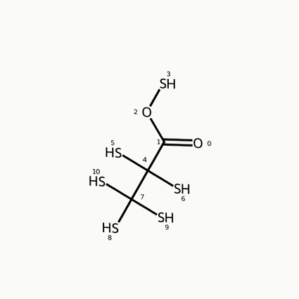 O=C(OS)C(S)(S)C(S)(S)S